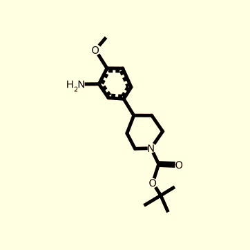 COc1ccc(C2CCN(C(=O)OC(C)(C)C)CC2)cc1N